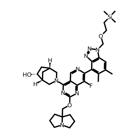 Cc1cc2c(nnn2COCC[Si](C)(C)C)c(-c2ncc3c(N4C[C@@H]5C[C@H](C4)[C@H](O)C5)nc(OCC45CCCN4CCC5)nc3c2F)c1C